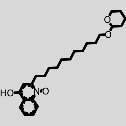 [O-][n+]1c(CCCCCCCCCCCOC2CCCCO2)cc(O)c2ccccc21